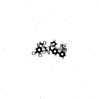 CN(C(=O)Cn1c(=O)cnc2cc(Cl)c(Cl)cc21)C(CN1CCCC1)c1ccc(-c2ccccc2NS(C)(=O)=O)cc1